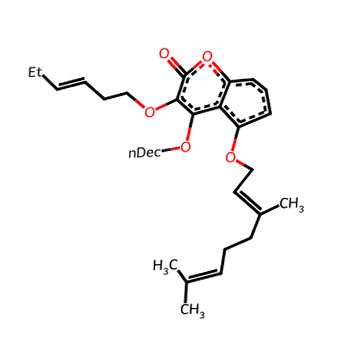 CCC=CCCOc1c(OCCCCCCCCCC)c2c(OC/C=C(\C)CCC=C(C)C)cccc2oc1=O